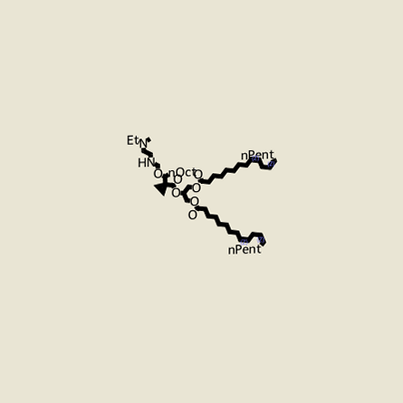 CCCCC/C=C\C/C=C\CCCCCCCC(=O)OCC(COC(=O)CCCCCCC/C=C\C/C=C\CCCCC)OC(=O)C1(C(CCCCCCCC)OCNCCN(C)CC)CC1